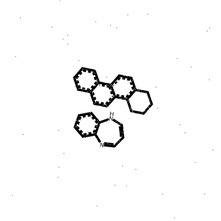 C1=CNc2ccccc2N=C1.c1ccc2c(c1)ccc1c3c(ccc12)CCCC3